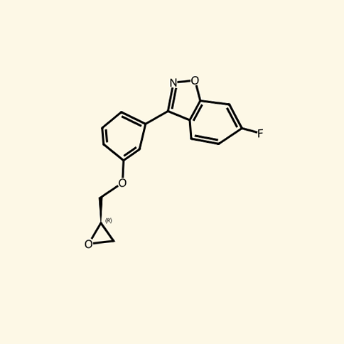 Fc1ccc2c(-c3cccc(OC[C@H]4CO4)c3)noc2c1